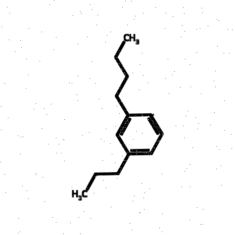 CCCCc1[c]ccc(CCC)c1